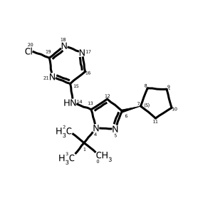 CC(C)(C)n1nc([C@H]2C[CH]CC2)cc1Nc1cnnc(Cl)n1